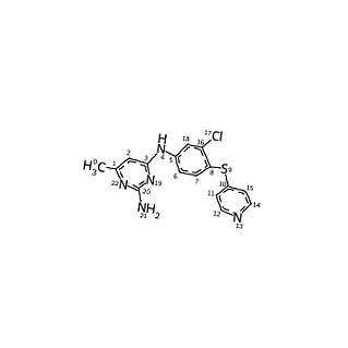 Cc1cc(Nc2ccc(Sc3ccncc3)c(Cl)c2)nc(N)n1